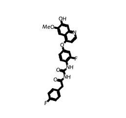 COc1cc2c(Oc3ccc(NC(=O)NC(=O)Cc4ccc(F)cc4)c(F)c3)ccnc2cc1O